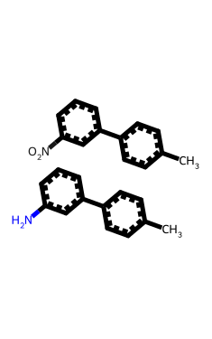 Cc1ccc(-c2cccc(N)c2)cc1.Cc1ccc(-c2cccc([N+](=O)[O-])c2)cc1